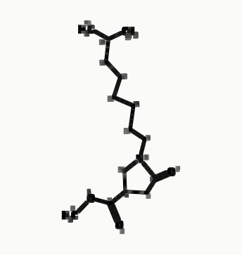 COC(=O)C1CC(=O)N(CCCCCCC(C)C)C1